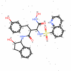 O=C(NC1c2ccccc2CC1O)C(Cc1cccc(O)c1)C(NS(=O)(=O)c1cccc2cccnc12)C(=O)NO